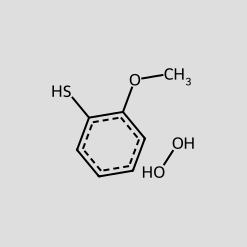 COc1ccccc1S.OO